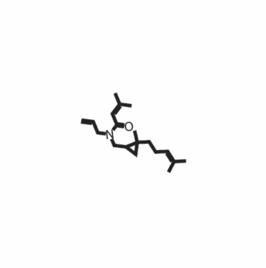 C=CCN(CC1CC1(C)CCC=C(C)C)C(=O)C=C(C)C